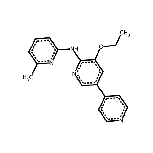 CCOc1cc(-c2ccncc2)cnc1Nc1cccc(C)n1